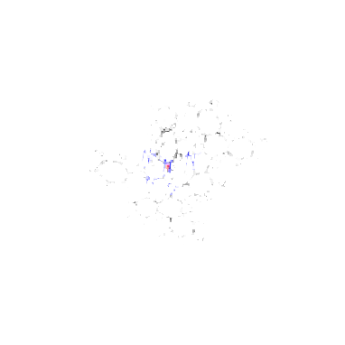 c1ccc(-c2nc(-c3ccccc3)nc(-n3c4c5ccccc5c5ccccc5c4c4ccc5c6c7ccccc7c7ccccc7c6n(-c6ccccc6)c5c43)n2)cc1